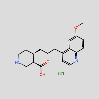 COc1ccc2nccc(CCC[C@@H]3CCNC[C@@H]3C(=O)O)c2c1.Cl